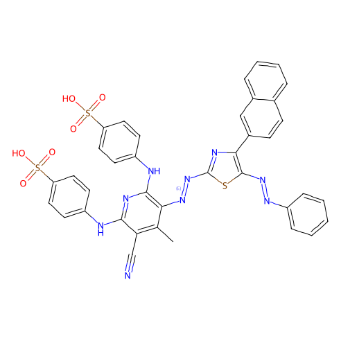 Cc1c(C#N)c(Nc2ccc(S(=O)(=O)O)cc2)nc(Nc2ccc(S(=O)(=O)O)cc2)c1/N=N/c1nc(-c2ccc3ccccc3c2)c(N=Nc2ccccc2)s1